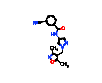 Cc1noc(C)c1Cn1cc(NC(=O)c2cccc(C#N)c2)cn1